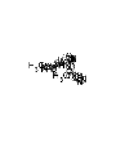 Cc1cc(Nc2ncnn3ccc(C4CC5(C4)CN(C(=O)/C=C/CN(C)C)C5)c23)ccc1Oc1ccn2ncnc2c1